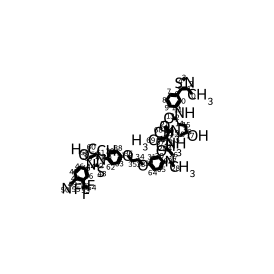 Cc1ncsc1-c1cccc(NC(=O)[C@H]2C[C@@H](O)CN2C(=O)[C@@H](NC(=O)CN(C)c2ccc(OCCOc3ccc(N4C(=S)N(c5ccc(C#N)c(C(F)(F)F)c5)C(=O)C4(C)C)cc3)cc2)C(C)(C)C)c1